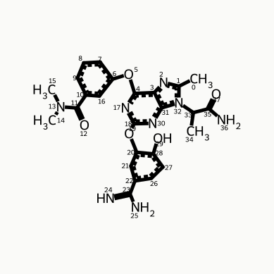 Cc1nc2c(Oc3cccc(C(=O)N(C)C)c3)nc(Oc3cc(C(=N)N)ccc3O)nc2n1C(C)C(N)=O